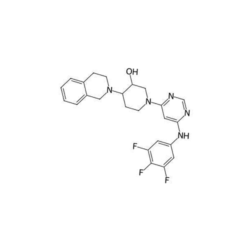 OC1CN(c2cc(Nc3cc(F)c(F)c(F)c3)ncn2)CCC1N1CCc2ccccc2C1